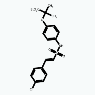 CCOC(=O)C(C)(C)Oc1ccc(NS(=O)(=O)C=Cc2ccc(Cl)cc2)cc1